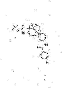 Cc1cc(Cl)cnc1C(=O)Nc1ccc(F)c([C@@]2(C)N=C(NC(=O)OC(C)(C)C)C(C)(C)[S@@]3(=O)=NCC[C@@H]23)n1